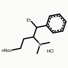 CCCCCCCCCCCC(C(CC)c1ccccc1)N(C)C.Cl